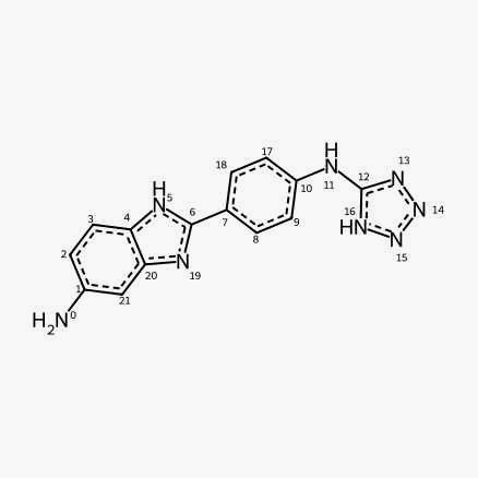 Nc1ccc2[nH]c(-c3ccc(Nc4nnn[nH]4)cc3)nc2c1